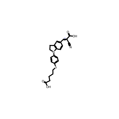 N#C/C(=C\c1ccc2c(c1)CCN2c1ccc(SCCCCC(=O)O)cc1)C(=O)O